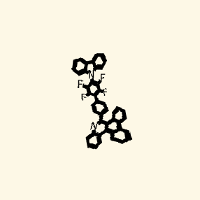 Fc1c(F)c(-n2c3ccccc3c3ccccc32)c(F)c(F)c1-c1ccc(-c2nc3ccccc3c3c4ccccc4c4ccccc4c23)cc1